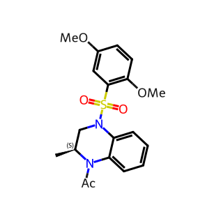 COc1ccc(OC)c(S(=O)(=O)N2C[C@H](C)N(C(C)=O)c3ccccc32)c1